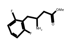 COC(=O)CC(N)Cc1c(F)cccc1F